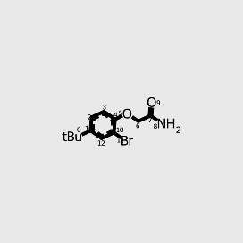 CC(C)(C)c1ccc(OCC(N)=O)c(Br)c1